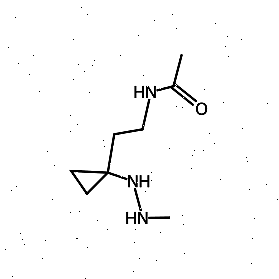 CNNC1(CCNC(C)=O)CC1